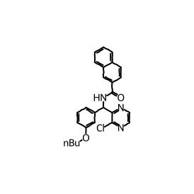 CCCCOc1cccc(C(NC(=O)c2ccc3ccccc3c2)c2nccnc2Cl)c1